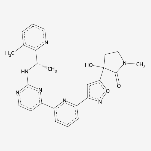 Cc1cccnc1[C@H](C)Nc1nccc(-c2cccc(-c3cc(C4(O)CCN(C)C4=O)on3)n2)n1